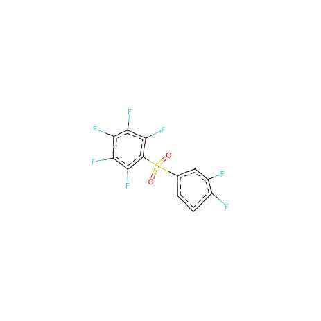 O=S(=O)(c1ccc(F)c(F)c1)c1c(F)c(F)c(F)c(F)c1F